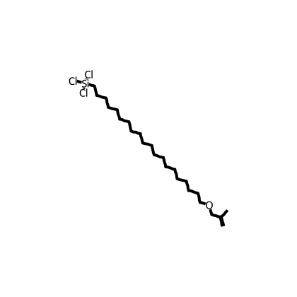 C=C(C)COCCCCCCCCCCCCCCCCCCCC[Si](Cl)(Cl)Cl